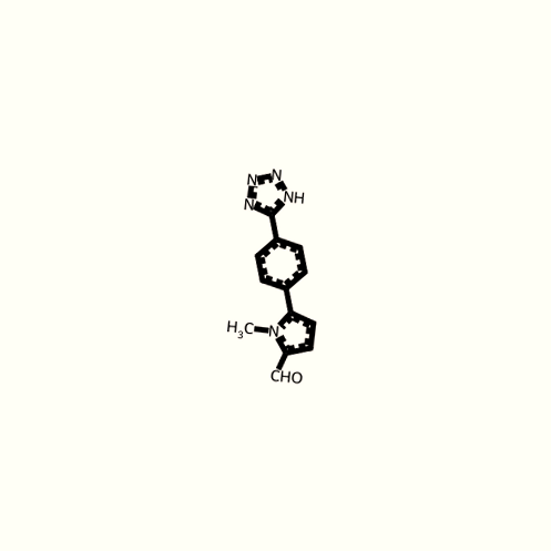 Cn1c(C=O)ccc1-c1ccc(-c2nnn[nH]2)cc1